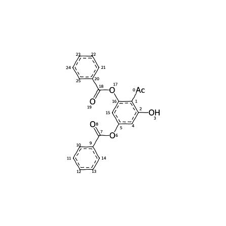 CC(=O)c1c(O)cc(OC(=O)c2ccccc2)cc1OC(=O)c1ccccc1